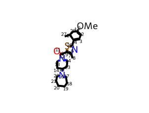 COC1=CC=C(c2nc(C)c(C(=O)N3CCC(N4CCCCCC4)CC3)s2)C(C)C1